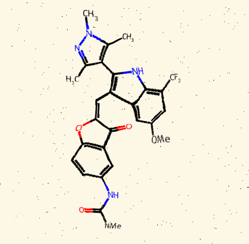 CNC(=O)Nc1ccc2c(c1)C(=O)C(=Cc1c(-c3c(C)nn(C)c3C)[nH]c3c(C(F)(F)F)cc(OC)cc13)O2